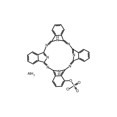 O=S(=O)(Cl)Oc1cccc2c3nc4nc(nc5[nH]c(nc6nc(nc([nH]3)c12)-c1ccccc1-6)c1ccccc51)-c1ccccc1-4.[AlH3]